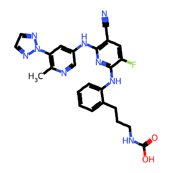 Cc1ncc(Nc2nc(Nc3ccccc3CCCNC(=O)O)c(F)cc2C#N)cc1-n1nccn1